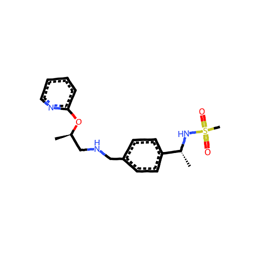 C[C@H](CNCc1ccc([C@@H](C)NS(C)(=O)=O)cc1)Oc1ccccn1